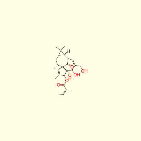 C/C=C(/C)C(=O)OC1C(C)=CC23C(=O)C(C=C(CO)C(O)C12O)[C@@H]1C(C[C@H]3C)C1(C)C